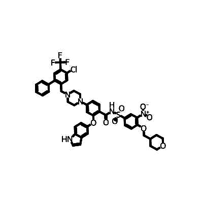 O=C(NS(=O)(=O)c1ccc(OCC2CCOCC2)c([N+](=O)[O-])c1)c1ccc(N2CCN(Cc3cc(Cl)c(C(F)(F)F)cc3-c3ccccc3)CC2)cc1Oc1ccc2[nH]ccc2c1